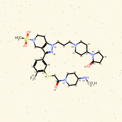 CS(=O)(=O)N1CCc2c(c(-c3ccc(C(F)(F)F)c(SCC(=O)N4CCC(NC(=O)O)CC4)c3)nn2CCCN2CCC(N3CCCC3=O)CC2)C1